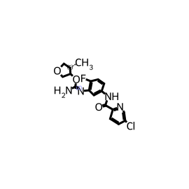 C[C@H]1COCC1O/C(N)=N\c1cc(NC(=O)c2ccc(Cl)cn2)ccc1F